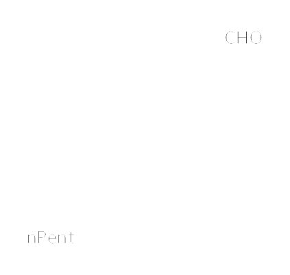 CCCCCCCC=CCCC=O